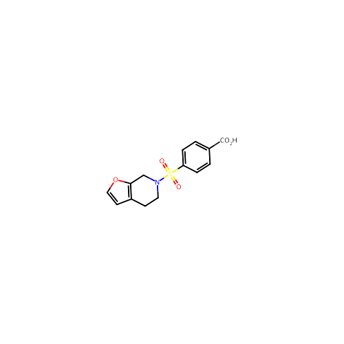 O=C(O)c1ccc(S(=O)(=O)N2CCc3ccoc3C2)cc1